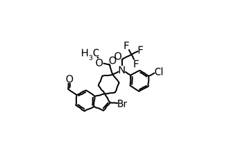 COC(=O)C1(N(C(=O)C(F)(F)F)c2cccc(Cl)c2)CCC2(CC1)C(Br)=Cc1ccc(C=O)cc12